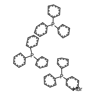 Br.c1ccc(P(c2ccccc2)c2ccccc2)cc1.c1ccc(P(c2ccccc2)c2ccccc2)cc1.c1ccc(P(c2ccccc2)c2ccccc2)cc1